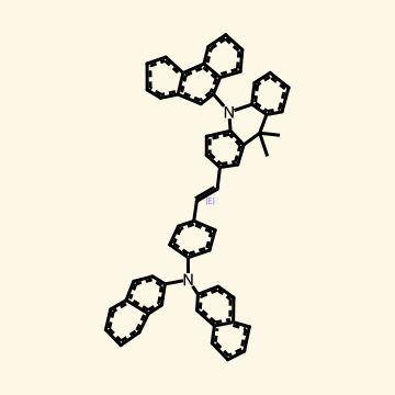 CC1(C)c2ccccc2N(c2cc3ccccc3c3ccccc23)c2ccc(/C=C/c3ccc(N(c4ccc5ccccc5c4)c4ccc5ccccc5c4)cc3)cc21